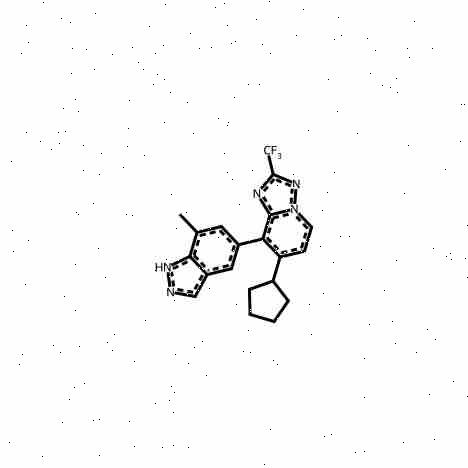 Cc1cc(-c2c(C3CCCC3)ccn3nc(C(F)(F)F)nc23)cc2cn[nH]c12